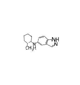 CC1CCCCC1Nc1ccc2[nH]ncc2c1